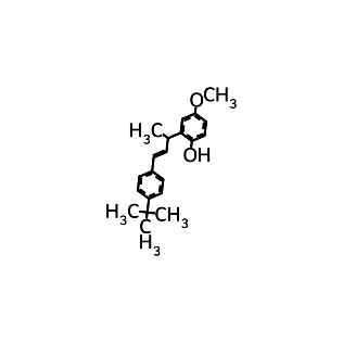 COc1ccc(O)c(C(C)C=Cc2ccc(C(C)(C)C)cc2)c1